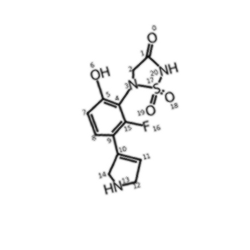 O=C1CN(c2c(O)ccc(C3=CCNC3)c2F)S(=O)(=O)N1